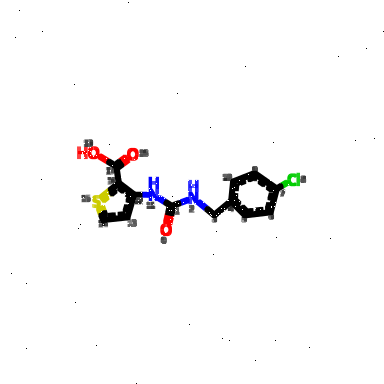 O=C(NCc1ccc(Cl)cc1)Nc1ccsc1C(=O)O